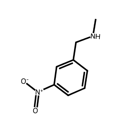 CNCc1cccc([N+](=O)[O-])c1